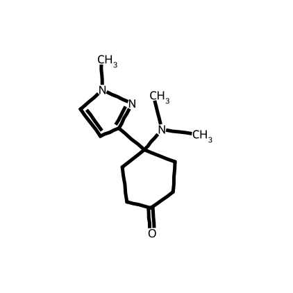 CN(C)C1(c2ccn(C)n2)CCC(=O)CC1